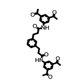 CC(=O)c1cc(NC(=O)CCc2cccc(CCC(=O)Nc3cc(C(C)=O)cc(C(C)=O)c3)c2)cc(C(C)=O)c1